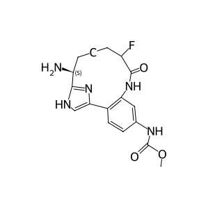 COC(=O)Nc1ccc2c(c1)NC(=O)C(F)CCC[C@H](N)c1nc-2c[nH]1